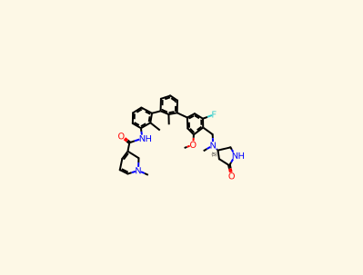 COc1cc(-c2cccc(-c3cccc(NC(=O)C4=CC=CN(C)C4)c3C)c2C)cc(F)c1CN(C)[C@@H]1CNC(=O)C1